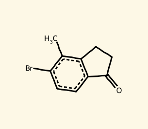 Cc1c(Br)ccc2c1CCC2=O